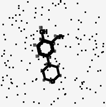 CCCc1cc(N2CCOCC2)ccc1O